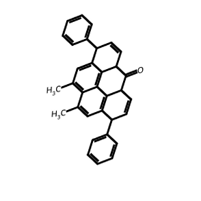 Cc1cc2c3c4c5c(cc(C)c14)C(c1ccccc1)C=CC5C(=O)C3C=CC2c1ccccc1